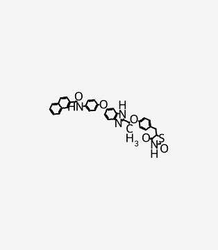 CC(Oc1ccc(CC2SC(=O)NC2=O)cc1)c1nc2ccc(Oc3ccc(NC(=O)c4ccc5ccccc5c4)cc3)cc2[nH]1